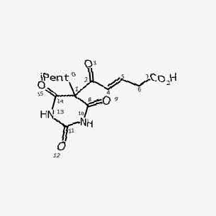 CCCC(C)C1(C(=O)C=CCC(=O)O)C(=O)NC(=O)NC1=O